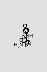 Cn1ncc(C(=O)Nc2ccc(Cl)cn2)c1C(N)=O